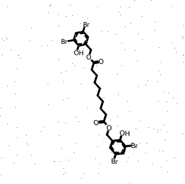 O=C(CCCCCCCCC(=O)OCc1cc(Br)cc(Br)c1O)OCc1cc(Br)cc(Br)c1O